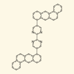 c1cc(-c2cnc(-c3ncc(-c4cccc5cc6c(ccc7ccccc76)cc45)cn3)nc2)c2cc3ccc4ccccc4c3cc2c1